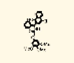 COc1cc(OCC(=O)NC(c2ccccc2)c2cc(Cl)c3cccnc3c2O)cc(OC)c1OC